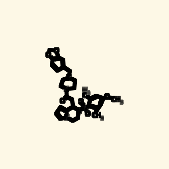 COc1cc(C)c(S(=O)(=O)N2CCn3cccc3C2CC(=O)N2CCN(Cc3ccc4c(c3)OCO4)CC2)c(C)c1